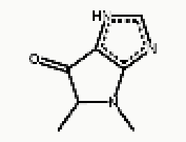 CC1C(=O)c2[nH]cnc2N1C